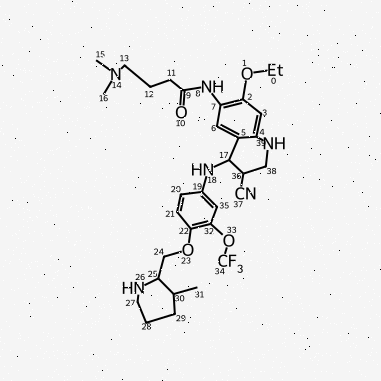 CCOc1cc2c(cc1NC(=O)CCCN(C)C)C(Nc1ccc(OCC3NCCCC3C)c(OC(F)(F)F)c1)C(C#N)CN2